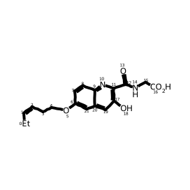 CC/C=C\CCOc1ccc2nc(C(=O)NCC(=O)O)c(O)cc2c1